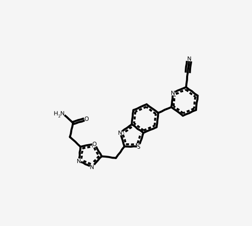 N#Cc1cccc(-c2ccc3nc(Cc4nnc(CC(N)=O)o4)sc3c2)n1